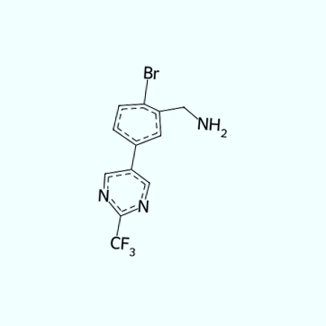 NCc1cc(-c2cnc(C(F)(F)F)nc2)ccc1Br